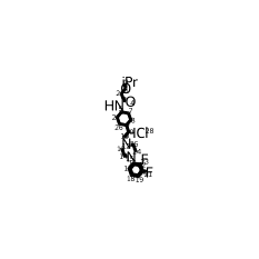 CC(C)OCC(=O)NC1CCC(CCN2CCN(c3cccc(F)c3F)CC2)CC1.Cl